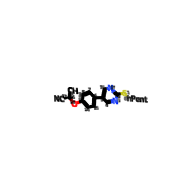 CCCCCSc1ncc(-c2ccc(O[C@H](C)C#N)cc2)cn1